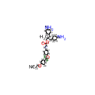 [CH2]C(COC(=O)/C=C/c1ccc(OC(F)(F)c2ccc(OCCC#N)cc2)cc1)(Cc1ccc(N)cc1)Cc1ccc(N)cc1